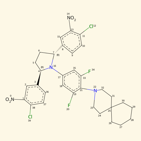 O=[N+]([O-])c1cc([C@H]2CC[C@H](c3ccc(Cl)c([N+](=O)[O-])c3)N2c2cc(F)c(N3CCC4(CCCCC4)CC3)c(F)c2)ccc1Cl